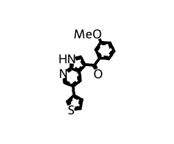 COc1cccc(C(=O)c2c[nH]c3ncc(-c4ccsc4)cc23)c1